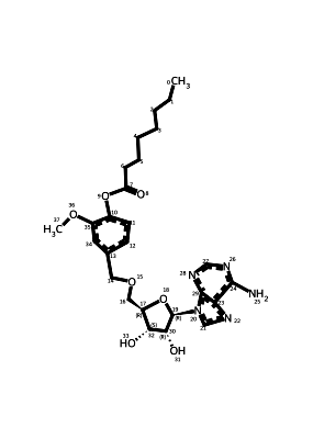 CCCCCCCC(=O)Oc1ccc(COC[C@H]2O[C@@H](n3cnc4c(N)ncnc43)[C@H](O)[C@@H]2O)cc1OC